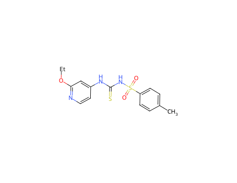 CCOc1cc(NC(=S)NS(=O)(=O)c2ccc(C)cc2)ccn1